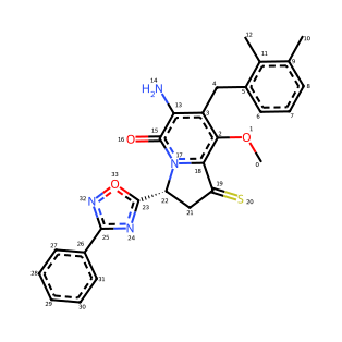 COc1c(Cc2cccc(C)c2C)c(N)c(=O)n2c1C(=S)C[C@@H]2c1nc(-c2ccccc2)no1